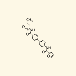 CCC[C@@H](C=O)NC(=O)c1ccc(-c2ccc(NC(=O)c3ccco3)cc2)cc1